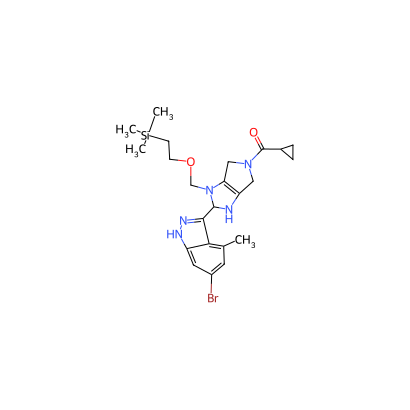 Cc1cc(Br)cc2[nH]nc(C3NC4=C(CN(C(=O)C5CC5)C4)N3COCC[Si](C)(C)C)c12